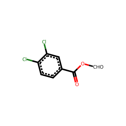 O=COC(=O)c1ccc(Cl)c(Cl)c1